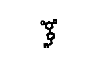 CC(C)Cc1ccc(C2CC(=O)CC(=O)C2)cc1